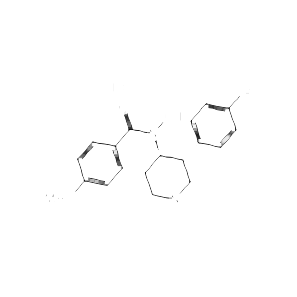 COc1ccc(C(=O)N(C)[C@@H]2CCNC[C@H]2c2ccc(Br)cc2)cc1.Cl